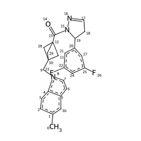 Cc1ccc2c(ccn2CC23CC(C(=O)N4N=CCC4c4cc(F)cc(F)c4)(C2)C3)c1